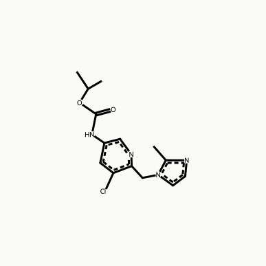 Cc1nccn1Cc1ncc(NC(=O)OC(C)C)cc1Cl